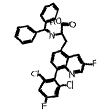 O=C(O)C(Cc1ccc(-c2c(Cl)cc(F)cc2Cl)c2ncc(F)cc12)N=C(c1ccccc1)c1ccccc1